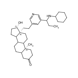 CCC(NC1CCCCC1)c1cncc(CC[C@]23CCC4C(CCC5CC(=O)CC[C@@]54C)C2CC[C@@H]3O)c1